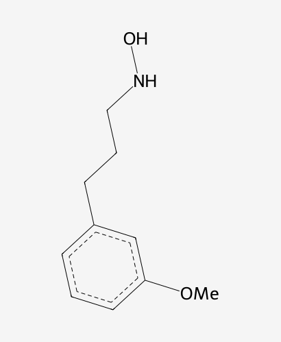 COc1cccc(CCCNO)c1